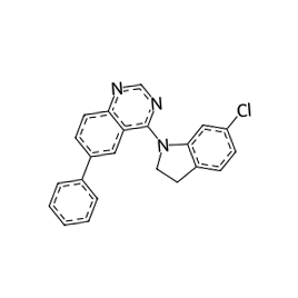 Clc1ccc2c(c1)N(c1ncnc3ccc(-c4ccccc4)cc13)CC2